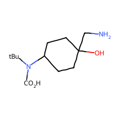 CC(C)(C)N(C(=O)O)C1CCC(O)(CN)CC1